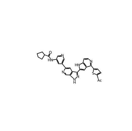 CC(=O)c1ccc(-c2nccc3[nH]c(-c4n[nH]c5cnc(-c6cncc(NC(=O)C7CCCC7)c6)cc45)cc23)s1